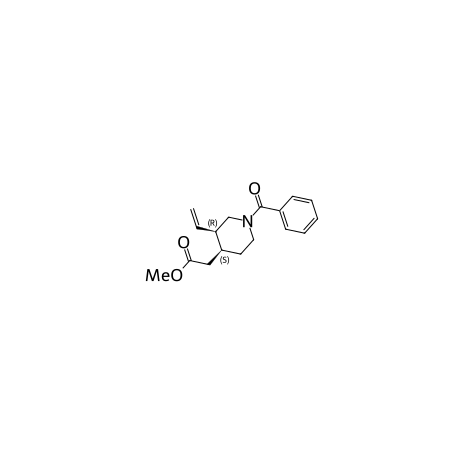 C=C[C@H]1CN(C(=O)c2ccccc2)CC[C@H]1CC(=O)OC